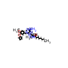 CCCCCCCC(=O)NC(C)(C)c1nc2c(N)ncn(Cc3ccc(OC)c(OC4CCCC4)c3)c-2n1